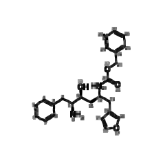 N[C@@H](Cc1ccccc1)[C@@H](O)C[C@H](Cc1ccoc1)NC(=O)OCc1cccnc1